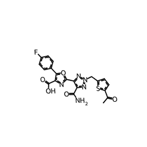 CC(=O)c1ccc(Cn2nc(C(N)=O)c(-c3nc(C(=O)O)c(-c4ccc(F)cc4)o3)n2)s1